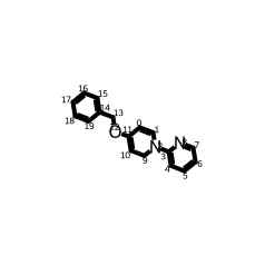 C1=CN(c2ccccn2)CC=C1OCc1ccccc1